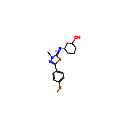 CSc1ccc(-c2nn(C)/c(=N/C3CCCC(O)C3)s2)cc1